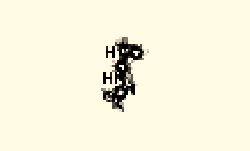 COc1cc2ncnc(Nc3ccc([C@H](NC(C)(C)C)c4ccccc4)cc3)c2cc1OC